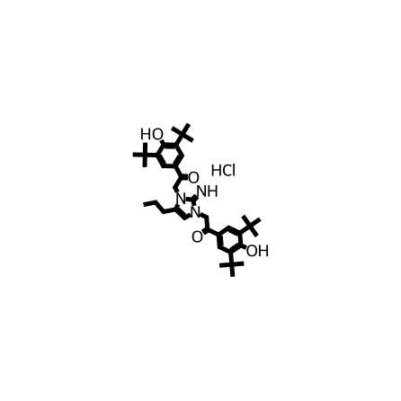 CCCc1cn(CC(=O)c2cc(C(C)(C)C)c(O)c(C(C)(C)C)c2)c(=N)n1CC(=O)c1cc(C(C)(C)C)c(O)c(C(C)(C)C)c1.Cl